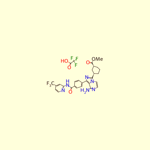 COC(=O)[C@H]1CCC[C@@H](c2nc(-c3ccc(C(=O)Nc4cc(C(F)(F)F)ccn4)cc3)c3c(N)nccn23)C1.O=C(O)C(F)(F)F